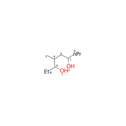 CCCC(O)CC(C)C(O)CC